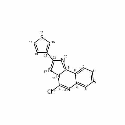 Clc1nc2ccccc2c2nc(-c3ccsc3)nn12